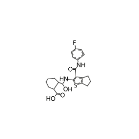 O=C(Nc1ccc(F)cc1)c1c(NC(O)C2CCCCC2C(=O)O)sc2c1CCC2